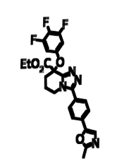 CCOC(=O)C1(Oc2cc(F)c(F)c(F)c2)CCCn2c(-c3ccc(-c4cnc(C)o4)cc3)nnc21